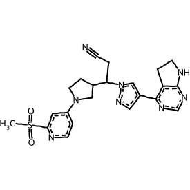 CS(=O)(=O)c1cc(N2CCC(C(CC#N)n3cc(-c4ncnc5c4CCN5)cn3)C2)ccn1